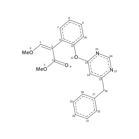 COC=C(C(=O)OC)c1ccccc1Oc1cc(Cc2ccccc2)ncn1